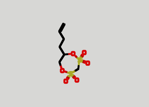 C=CCCC1COS(=O)(=O)CS(=O)(=O)O1